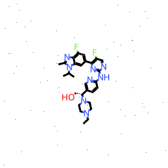 CCN1CCN([C@H](CO)c2ccc(Nc3ncc(F)c(-c4cc(F)c5nc(C)n(C(C)C)c5c4)n3)nc2)CC1